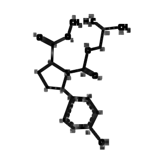 COC(=O)C1CCC(c2ccc(O)cc2)N1C(=O)OCC(C)C